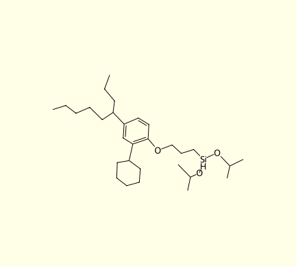 CCCCCC(CCC)c1ccc(OCCC[SiH](OC(C)C)OC(C)C)c(C2CCCCC2)c1